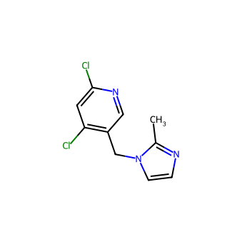 Cc1nccn1Cc1cnc(Cl)cc1Cl